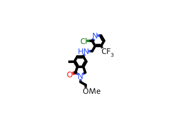 COCCN1Cc2cc(NCc3c(C(F)(F)F)ccnc3Cl)cc(C)c2C1=O